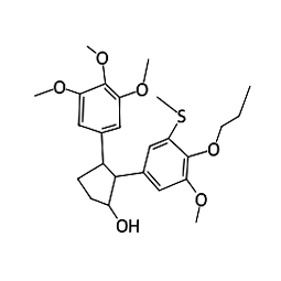 CCCOc1c(OC)cc(C2C(O)CCC2c2cc(OC)c(OC)c(OC)c2)cc1SC